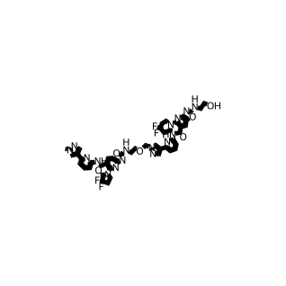 Cn1cc(-c2cccc(NC(=O)c3cc4oc(NCCOCn5cc(-c6cccc(NC(=O)c7cc8oc(NCCO)nc8nc7N7CCC(F)(F)CC7)n6)cn5)nc4nc3N3CCC(F)(F)C3)n2)cn1